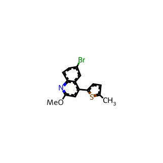 COc1cc(-c2ccc(C)s2)c2cc(Br)ccc2n1